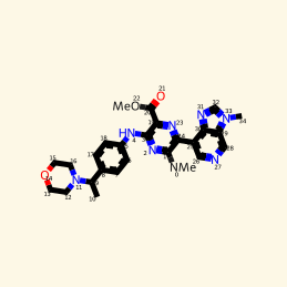 CNc1nc(Nc2ccc(C(C)N3CCOCC3)cc2)c(C(=O)OC)nc1-c1cncc2c1ncn2C